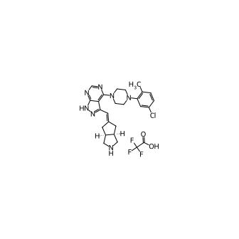 Cc1ccc(Cl)cc1N1CCN(c2ncnc3[nH]nc(C=C4C[C@H]5CNC[C@H]5C4)c23)CC1.O=C(O)C(F)(F)F